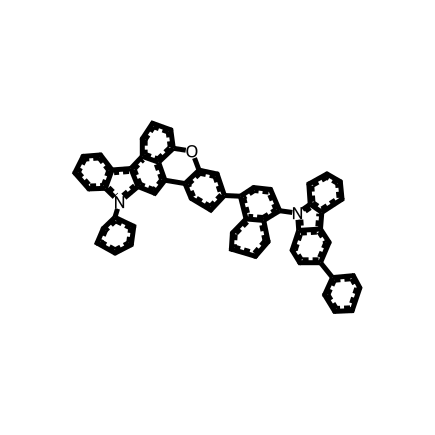 c1ccc(-c2ccc3c(c2)c2ccccc2n3-c2ccc(-c3ccc4c(c3)Oc3cccc5c3c-4cc3c5c4ccccc4n3-c3ccccc3)c3ccccc23)cc1